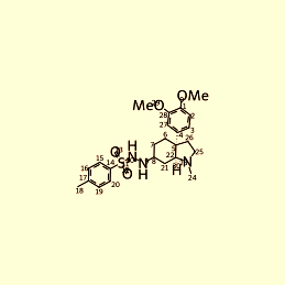 COc1ccc([C@@]23CCC(NNS(=O)(=O)c4ccc(C)cc4)C[C@@H]2N(C)CC3)cc1OC